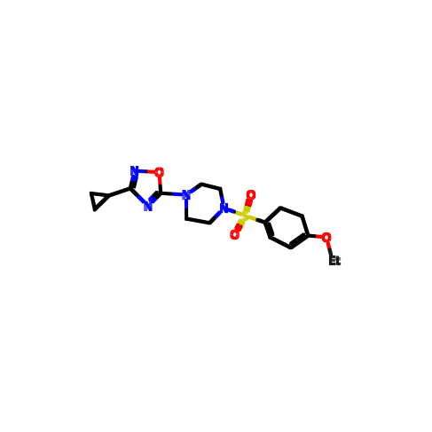 CCOC1=CC=C(S(=O)(=O)N2CCN(c3nc(C4CC4)no3)CC2)CC1